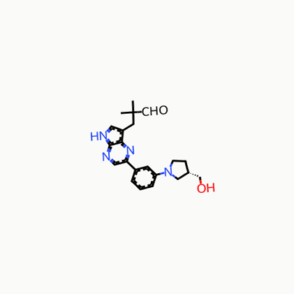 CC(C)(C=O)Cc1c[nH]c2ncc(-c3cccc(N4CC[C@H](CO)C4)c3)nc12